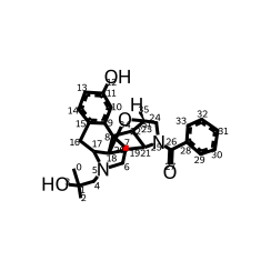 CC(C)(O)CN1CCC23c4cc(O)ccc4CC1C21CCC2C3[C@@H](CN2C(=O)c2ccccc2)O1